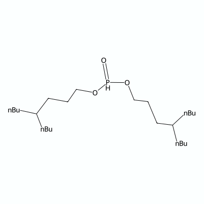 CCCCC(CCCC)CCCO[PH](=O)OCCCC(CCCC)CCCC